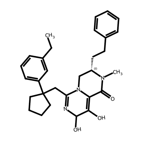 CCc1cccc(C2(CC3=NC(O)C(O)=C4C(=O)N(C)[C@@H](CCc5ccccc5)CN34)CCCC2)c1